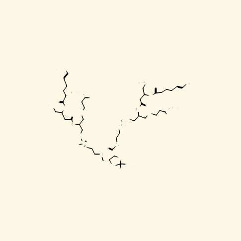 CCCCCC/C=C/CCCC(=O)OC(CCCCCCCCCCC)CC(=O)NC(COCC[C@H](O)CCCCCCC)COP(=O)(O)OCCNC(=O)[C@H]1OC(C)(C)O[C@H]1C(=O)NCCOP(=O)(O)OCC(COCC[C@H](O)CCCCCCC)NC(=O)CC(CCCCCCCCCCC)OC(=O)CCC/C=C/CCCCCC